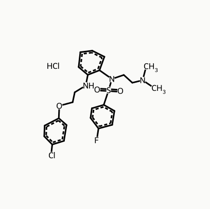 CN(C)CCN(c1ccccc1NCCOc1ccc(Cl)cc1)S(=O)(=O)c1ccc(F)cc1.Cl